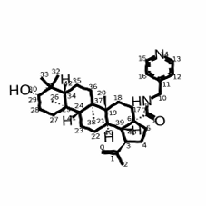 C=C(C)[C@@H]1CC[C@]2(C(=O)NCc3ccncc3)CC[C@]3(C)[C@H](CC[C@@H]4[C@@]5(C)CC[C@H](O)C(C)(C)[C@@H]5CC[C@]43C)[C@@H]12